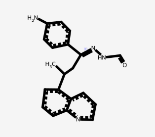 CC(C/C(=N\NC=O)c1ccc(N)cc1)c1cccc2ncccc12